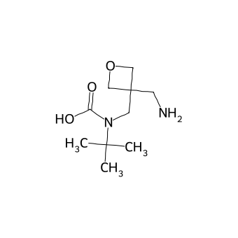 CC(C)(C)N(CC1(CN)COC1)C(=O)O